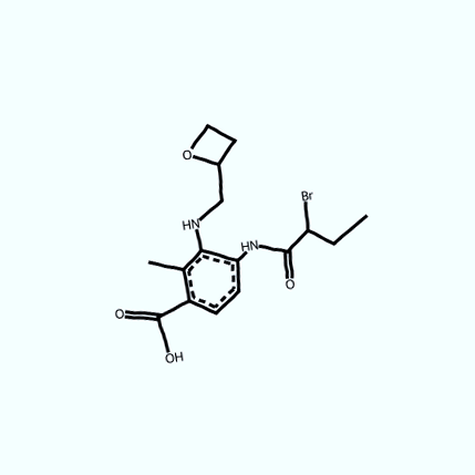 CCC(Br)C(=O)Nc1ccc(C(=O)O)c(C)c1NCC1CCO1